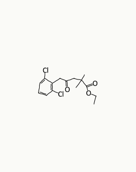 CCOC(=O)C(C)(C)CC(=O)Cc1c(Cl)cccc1Cl